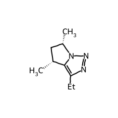 CCc1nnn2c1[C@H](C)C[C@@H]2C